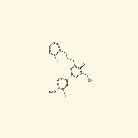 COc1ccc(-c2cc(CO)c(=O)n(CCCc3ccccc3Cl)n2)cc1F